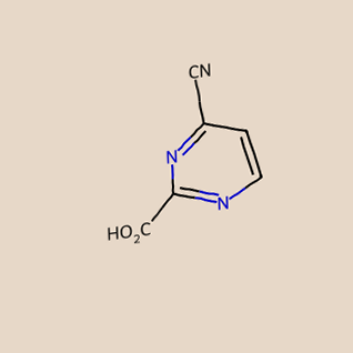 N#Cc1ccnc(C(=O)O)n1